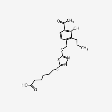 CCCc1c(CSc2nnc(SCCCCCC(=O)O)s2)ccc(C(C)=O)c1O